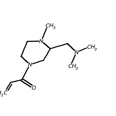 C=CC(=O)N1CCN(C)C(CN(C)C)C1